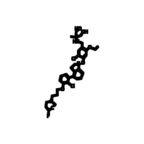 CCOc1cc(O[C@H]2CCc3c(-c4cccc(OCCCN5CCC(F)CC5)c4Cl)cccc32)c(Cl)cc1CNC(C)(CO)CO